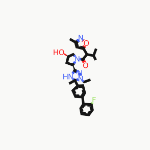 CCN1N=C([C@H]2C[C@@H](O)CN2C(=O)C(c2cc(C)no2)C(C)C)NC1(C)c1ccc(-c2ccccc2F)cc1